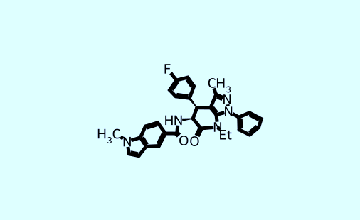 CCN1C(=O)[C@@H](NC(=O)c2ccc3c(ccn3C)c2)[C@@H](c2ccc(F)cc2)c2c(C)nn(-c3ccccc3)c21